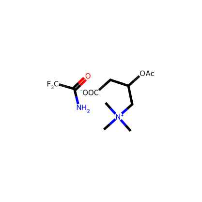 CC(=O)OC(CC(=O)[O-])C[N+](C)(C)C.NC(=O)C(F)(F)F